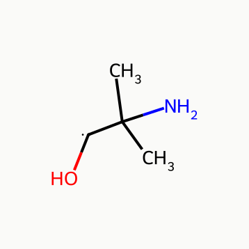 CC(C)(N)[CH]O